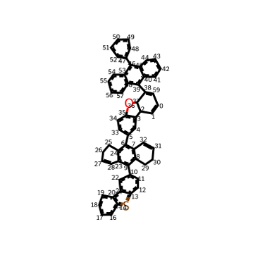 C1=CC2c3cc(-c4c5c(c(-c6ccc7sc8ccccc8c7c6)c6c4CCC=C6)CCC=C5)ccc3OC2C(c2c3ccccc3c(-c3ccccc3)c3ccccc23)=C1